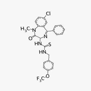 CN1C(=O)C(NC(=S)NCc2ccc(OC(F)(F)F)cc2)N=C(c2ccccc2)c2cc(Cl)ccc21